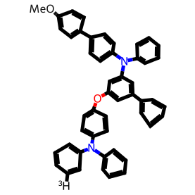 [3H]c1cccc(N(c2ccccc2)c2ccc(Oc3cc(-c4ccccc4)cc(N(c4ccccc4)c4ccc(-c5ccc(OC)cc5)cc4)c3)cc2)c1